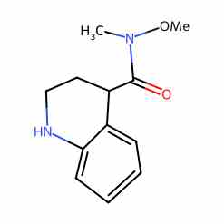 CON(C)C(=O)C1CCNc2ccccc21